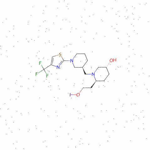 O[C@@H]1CC[C@@H](CCOI)N(C[C@@H]2CCCN(c3nc(C(F)(F)F)cs3)C2)C1